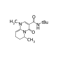 CC1CCC=C2N(C)C=C(C(=O)NC(C)(C)C)C(=O)N21